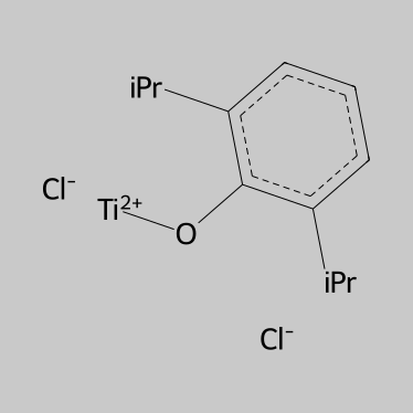 CC(C)c1cccc(C(C)C)c1[O][Ti+2].[Cl-].[Cl-]